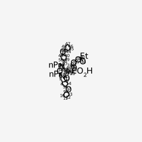 CCCN(Cc1ccc(Oc2ccccc2)cc1)C(=O)[C@@H]1[C@H](CC(=O)O)[C@@H](CC(=O)OCOC(=O)CC)[C@H]1C(=O)N(CCC)Cc1ccc(Oc2ccccc2)cc1